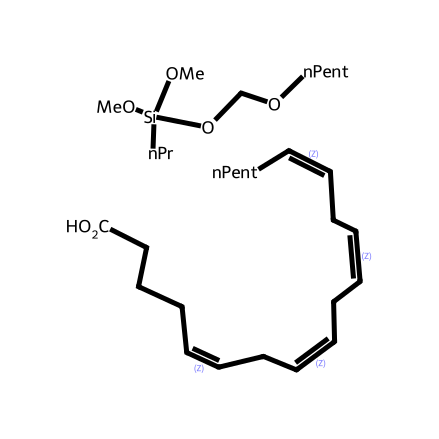 CCCCC/C=C\C/C=C\C/C=C\C/C=C\CCCC(=O)O.CCCCCOCO[Si](CCC)(OC)OC